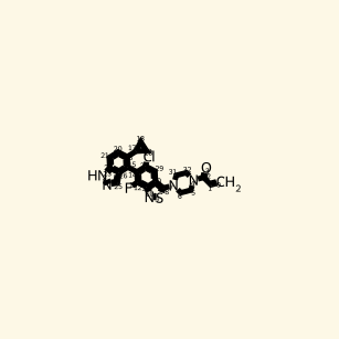 C=CC(=O)N1CCN(c2snc3c(F)c(-c4c(C5CC5)ccc5[nH]ncc45)c(Cl)cc23)CC1